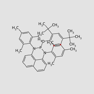 Cc1cc(C)c(N2c3cccc4cccc(c34)N(c3c(C)cc(C)cc3C)P2Oc2ccc(C(C)(C)C)cc2C(C)(C)C)c(C)c1